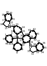 c1ccc(C2(c3ccccc3)c3cc(N4CCc5ccccc54)ccc3-c3c2cc(N2CCc4ccccc42)c2ccccc32)cc1